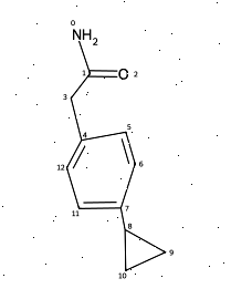 NC(=O)Cc1ccc(C2CC2)cc1